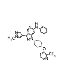 Cn1cc(-c2nn([C@H]3CC[C@@H](Oc4cccnc4C(F)(F)F)CC3)c3cc(Nc4ccccc4)ncc23)cn1